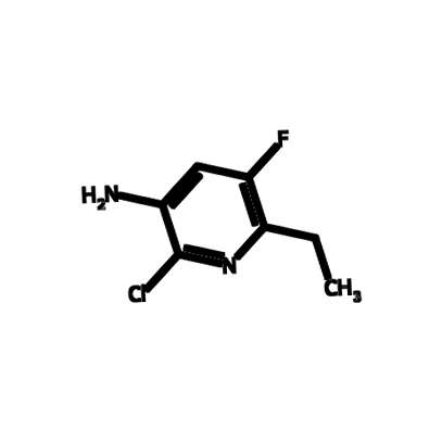 CCc1nc(Cl)c(N)cc1F